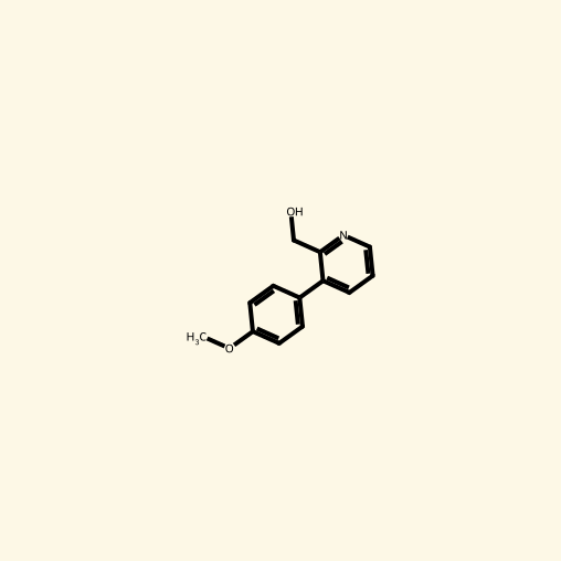 COc1ccc(-c2cccnc2CO)cc1